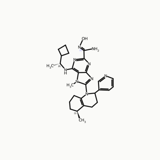 C[C@H]1CCCC2=C1CCC(c1cccnc1)N2c1nc2nc(/C(N)=N/O)nc(N[C@H](C)C3CCC3)c2n1C